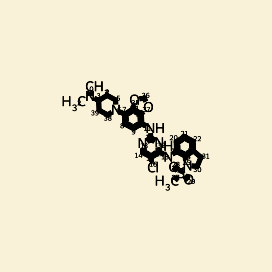 CN(C)C1CCN(c2ccc(Nc3ncc(Cl)c(Nc4cccc5c4N(S(C)(=O)=O)CC5)n3)c3c2OCO3)CC1